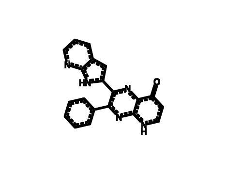 O=c1cc[nH]c2nc(-c3ccccc3)c(-c3cc4cccnc4[nH]3)nc12